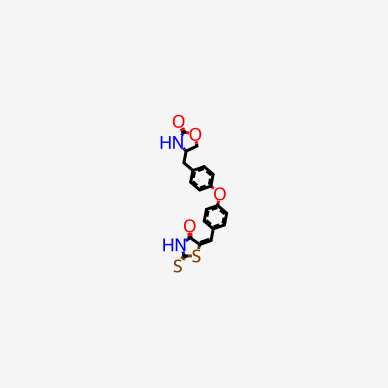 O=C1NC(Cc2ccc(Oc3ccc(C=C4SC(=S)NC4=O)cc3)cc2)CO1